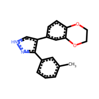 Cc1cccc(-c2n[nH]cc2-c2ccc3c(c2)OCCO3)c1